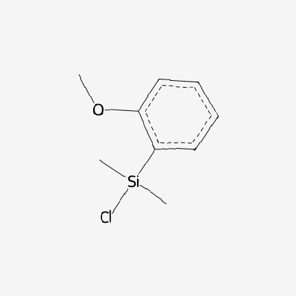 COc1ccccc1[Si](C)(C)Cl